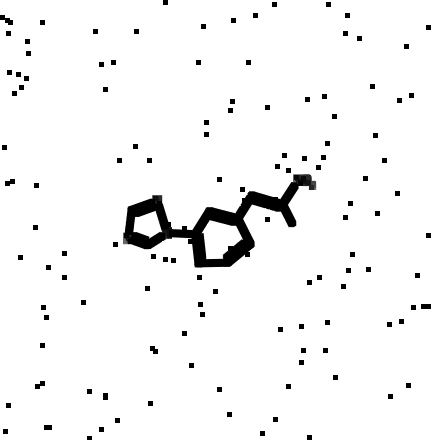 CC(=Cc1cccc(-n2cncn2)c1)[N+](=O)[O-]